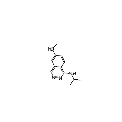 CBc1ccc2c(NC(C)C)nncc2c1